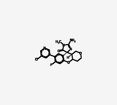 CN1C(=O)[C@]2(N=C1N)c1cc(-c3cncc(Cl)c3)c(F)cc1OC1CCOC[C@@H]12